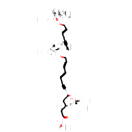 CC[C@H](/C=C/C#CC[C@H](/C=C/C=C/C#C[C@H](CCCC(=O)OC)O[Si](C)(C)C)O[Si](C)(C)C)O[Si](C)(C)C